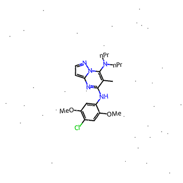 CCCN(CCC)c1c(C)c(Nc2cc(OC)c(Cl)cc2OC)nc2ccnn12